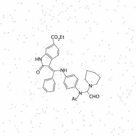 CCOC(=O)c1ccc2c(c1)NC(=O)C2=C(Nc1ccc(N(C(C)=O)C(C=O)N2CCCCC2)cc1)c1ccccc1